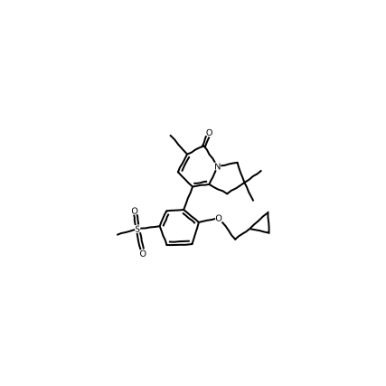 Cc1cc(-c2cc(S(C)(=O)=O)ccc2OCC2CC2)c2n(c1=O)CC(C)(C)C2